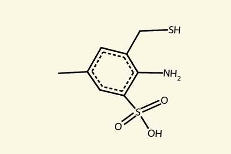 Cc1cc(CS)c(N)c(S(=O)(=O)O)c1